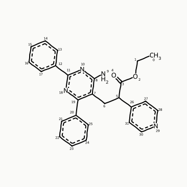 CCOC(=O)C(Cc1c(N)nc(-c2ccccc2)nc1-c1ccccc1)c1ccncc1